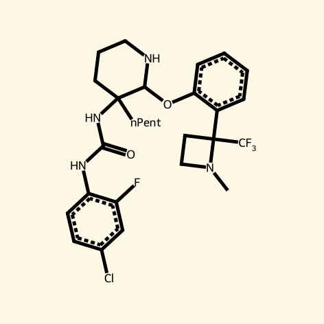 CCCCCC1(NC(=O)Nc2ccc(Cl)cc2F)CCCNC1Oc1ccccc1C1(C(F)(F)F)CCN1C